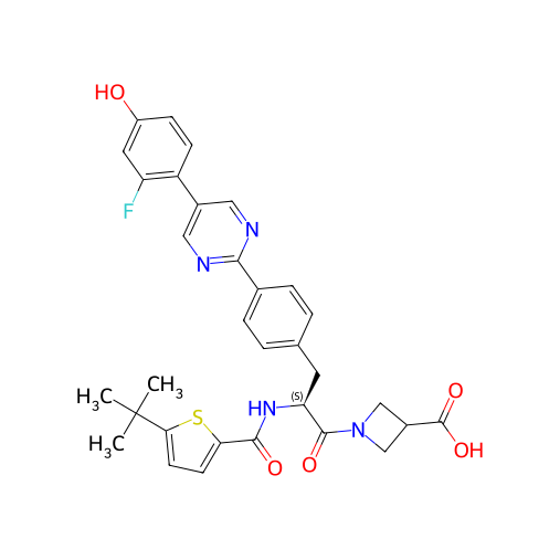 CC(C)(C)c1ccc(C(=O)N[C@@H](Cc2ccc(-c3ncc(-c4ccc(O)cc4F)cn3)cc2)C(=O)N2CC(C(=O)O)C2)s1